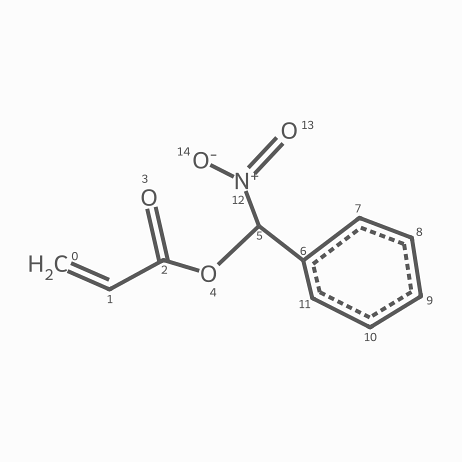 C=CC(=O)OC(c1ccccc1)[N+](=O)[O-]